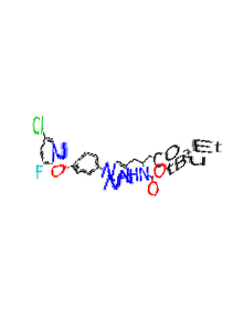 CCOC(=O)CC(Cc1cn(-c2ccc(Oc3ncc(Cl)cc3F)cc2)nn1)NC(=O)OC(C)(C)C